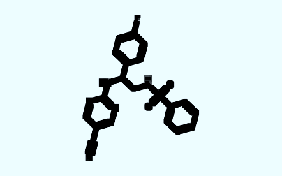 N#Cc1cnc(NC(CNS(=O)(=O)c2ccccc2)c2ccc(F)cc2)nc1